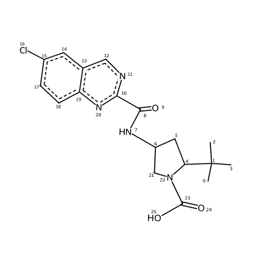 CC(C)(C)C1CC(NC(=O)c2ncc3cc(Cl)ccc3n2)CN1C(=O)O